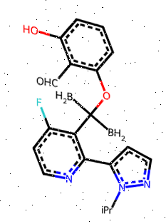 BC(B)(Oc1cccc(O)c1C=O)c1c(F)ccnc1-c1ccnn1C(C)C